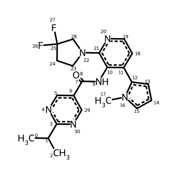 CC(C)c1ncc(C(=O)Nc2c(-c3cccn3C)ccnc2N2CCC(F)(F)C2)cn1